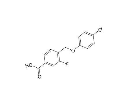 O=C(O)c1ccc(COc2ccc(Cl)cc2)c(F)c1